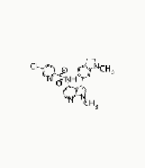 CN1CCc2ccc(-c3cn(C)c4nccc(NS(=O)(=O)c5ccc(Cl)cn5)c34)cc21